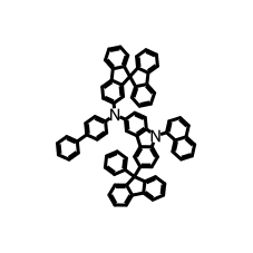 c1ccc(-c2ccc(N(c3ccc4c(c3)C3(c5ccccc5-c5ccccc53)c3ccccc3-4)c3ccc4c(c3)c3cc(C5(c6ccccc6)c6ccccc6-c6ccccc65)ccc3n4-c3cccc4ccccc34)cc2)cc1